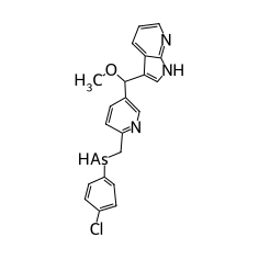 COC(c1ccc(C[AsH]c2ccc(Cl)cc2)nc1)c1c[nH]c2ncccc12